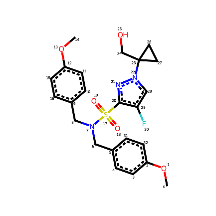 COc1ccc(CN(Cc2ccc(OC)cc2)S(=O)(=O)c2nn(C3(CO)CC3)cc2F)cc1